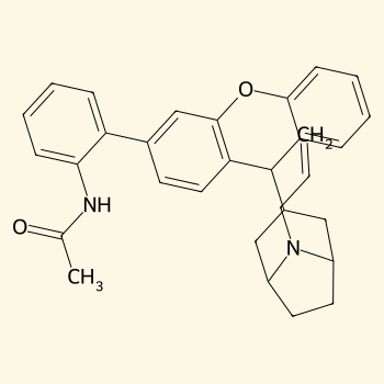 C=CCN1C2CCC1CC(C1c3ccccc3Oc3cc(-c4ccccc4NC(C)=O)ccc31)C2